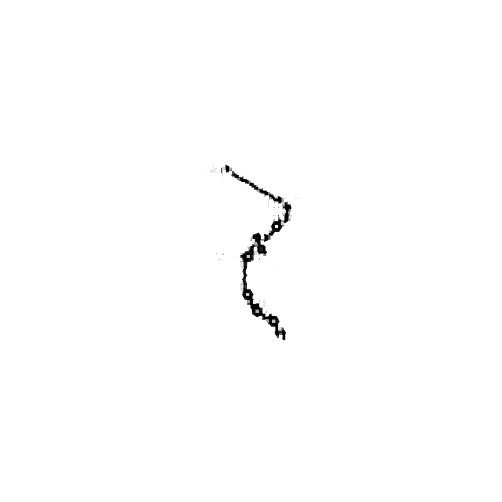 C=C1CC(C2OCCN2C(=O)OCc2ccc(NC(=O)[C@H](C)NC(=O)[C@@H](NC(=O)CCOCCOCCOCCOCCNC(=O)CCC)C(C)C)cc2)N(C(=O)c2cc(OC)c(OCCCCCOc3ccc(-c4nc5ccc(-c6nc7cc(N8CCN(C)CC8)ccc7[nH]6)cc5[nH]4)cc3)cc2N)C1